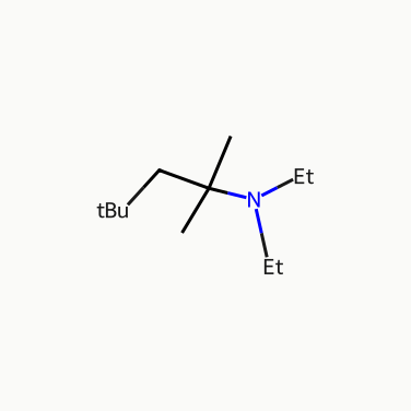 CCN(CC)C(C)(C)CC(C)(C)C